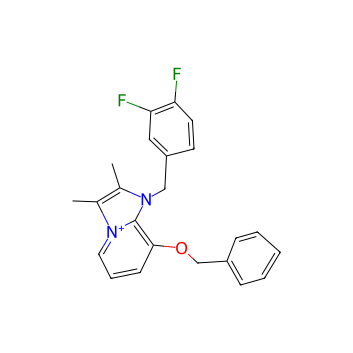 Cc1c(C)[n+]2cccc(OCc3ccccc3)c2n1Cc1ccc(F)c(F)c1